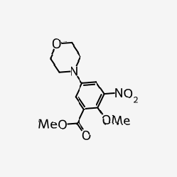 COC(=O)c1cc(N2CCOCC2)cc([N+](=O)[O-])c1OC